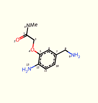 CNC(=O)COc1cc(CN)ccc1N